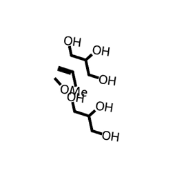 C=CC.COC.OCC(O)CO.OCC(O)CO